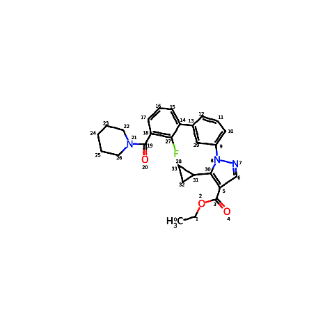 CCOC(=O)c1cnn(-c2cccc(-c3cccc(C(=O)N4CCCCC4)c3F)c2)c1C1CC1